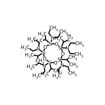 CCN(CC)[Si]1(C(C)C)O[Si](C(C)C)(N(CC)CC)O[Si](C(C)C)(N(CC)CC)O[Si](C(C)C)(N(CC)CC)O[Si](C(C)C)(N(CC)CC)O1